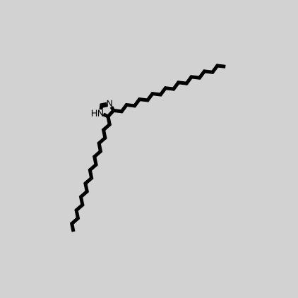 CCCCCCCCCCCCCCCCCC1N=CNC1CCCCCCCCCCCCCCCCC